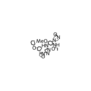 C=CC(=O)Nc1cc(Nc2cc(N3OCC[C@@H]3c3cccc(Oc4ccccc4)c3)ncn2)c(OC)cc1N1CCN(C)C(=O)C1